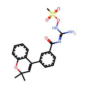 CC1(C)C=C(c2cccc(C(=O)N=C(N)NOS(C)(=O)=O)c2)c2ccccc2O1